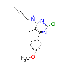 CC#CCN(C)c1nc(Cl)nc(-c2ccc(OC(F)(F)F)cc2)c1C